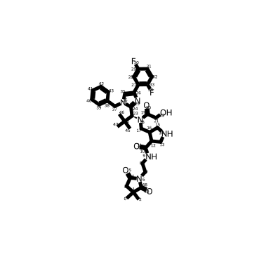 CC1(C)CC(=O)N(CCNC(=O)C2CNCC2CN(C(=O)CO)[C@@H](c2nc(-c3cc(F)ccc3F)cn2Cc2ccccc2)C(C)(C)C)C1=O